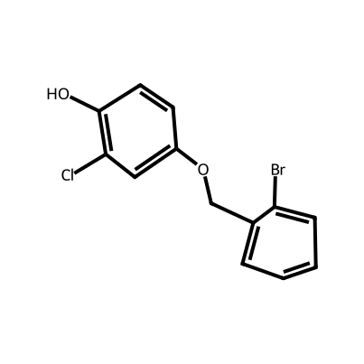 Oc1ccc(OCc2ccccc2Br)cc1Cl